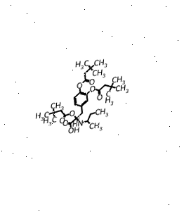 CCC(C)N[C@@](Cc1ccc(OC(=O)CC(C)(C)C)c(OC(=O)CC(C)(C)C)c1)(OC(=O)CC(C)(C)C)C(=O)O